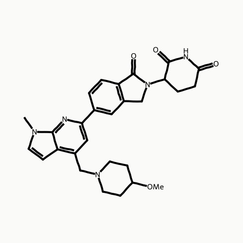 COC1CCN(Cc2cc(-c3ccc4c(c3)CN(C3CCC(=O)NC3=O)C4=O)nc3c2ccn3C)CC1